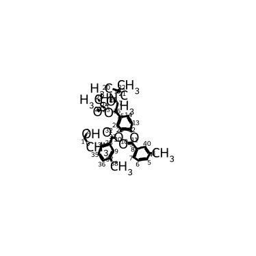 CCO.Cc1cccc(C(=O)Oc2ccc(C(CNC(C)(C)C)OS(C)(=O)=O)cc2OC(=O)c2cccc(C)c2)c1